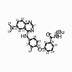 Cc1cc(Nc2ncnc3ccc(N(C)C)cc23)ccc1Oc1cccc(C(=O)NC(C)(C)C)c1